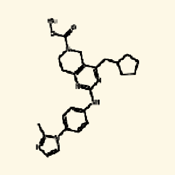 Cc1nccn1-c1ccc(Nc2nc3c(c(CC4CCCC4)n2)CN(C(=O)OC(C)(C)C)CC3)cc1